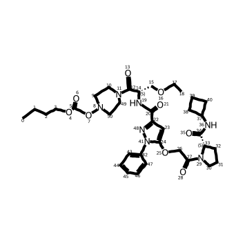 CCCCOC(=O)ON1CCN(C(=O)[C@H](COCC)NC(=O)c2cc(OCC(=O)N3CCC[C@H]3C(=O)NC3CCC3)n(-c3ccccc3)n2)CC1